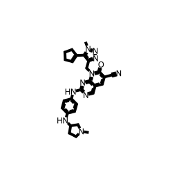 CN1CCC(Nc2ccc(Nc3ncc4cc(C#N)c(=O)n(Cc5nnn(C)c5C5=CCCC5)c4n3)cc2)C1